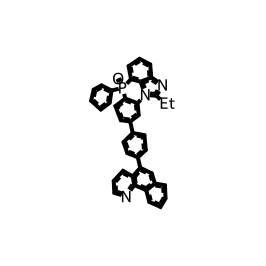 CCc1nc2cccc3c2n1-c1cc(-c2ccc(-c4cc5ccccc5c5ncccc45)cc2)ccc1P3(=O)c1ccccc1